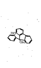 Cc1cccc(O)c1C(O)(c1ccccc1)c1ccccc1